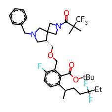 CCC(F)(F)CCC(C)c1ccc(F)c(COC[C@@H]2CN(Cc3ccccc3)CC23CN(C(=O)C(C)(C)C(F)(F)F)C3)c1C(=O)OC(C)(C)C